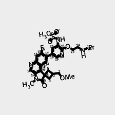 COCC1CC2(C1)C(=O)N(C)c1cnc3cc(F)c(-c4cnc(OCCNC(C)C)c(NS(C)(=O)=O)c4)cc3c12